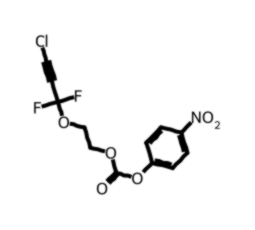 O=C(OCCOC(F)(F)C#CCl)Oc1ccc([N+](=O)[O-])cc1